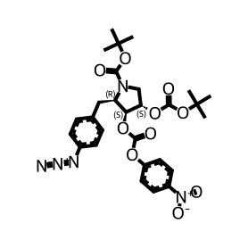 CC(C)(C)OC(=O)O[C@H]1CN(C(=O)OC(C)(C)C)[C@H](Cc2ccc(N=[N+]=[N-])cc2)[C@@H]1OC(=O)Oc1ccc([N+](=O)[O-])cc1